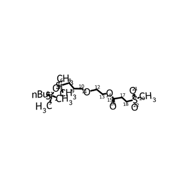 CCCC[Si](C)(C)O[Si](C)(C)CCCOCCOC(=O)CCS(C)(=O)=O